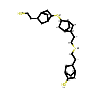 SCC[C@@H]1CC2CC1CC2SC1CC2CC1CC2CCSCCC1CC2CC1CC2S